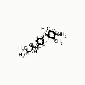 Cc1cc(Oc2ccc(NC(=O)NC(C)C)cc2)c(C)cc1N